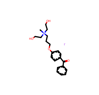 C[N+](CCO)(CCO)CCCOc1ccc(C(=O)c2ccccc2)cc1.[I-]